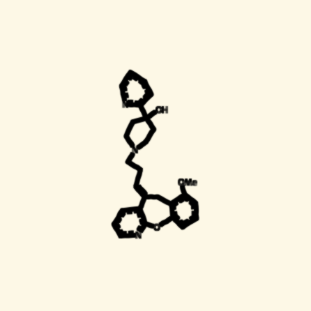 COc1cccc2c1CC(=CCCN1CCC(O)(c3ccccn3)CC1)c1cccnc1O2